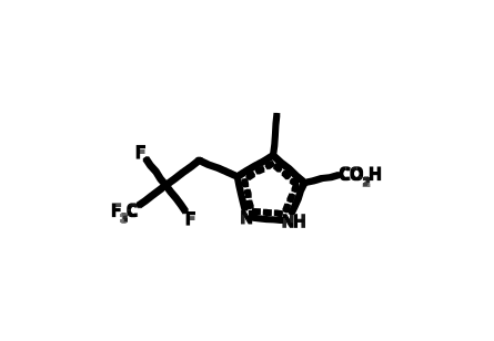 Cc1c(CC(F)(F)C(F)(F)F)n[nH]c1C(=O)O